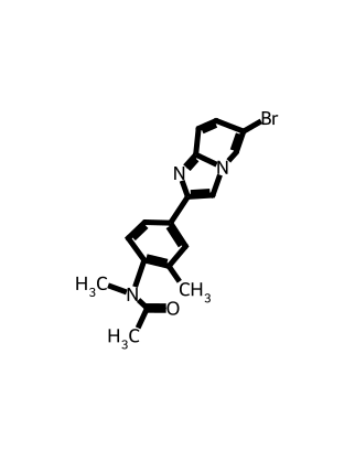 CC(=O)N(C)c1ccc(-c2cn3cc(Br)ccc3n2)cc1C